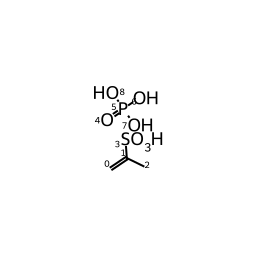 C=C(C)S(=O)(=O)O.O=P(O)(O)O